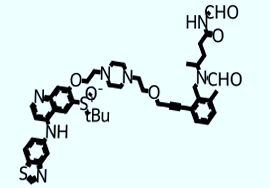 Cc1cccc(C#CCOCCN2CCN(CCOc3cc4nccc(Nc5ccc6scnc6c5)c4cc3[S+]([O-])C(C)(C)C)CC2)c1CN(C=O)C(C)CCC(=O)NC=O